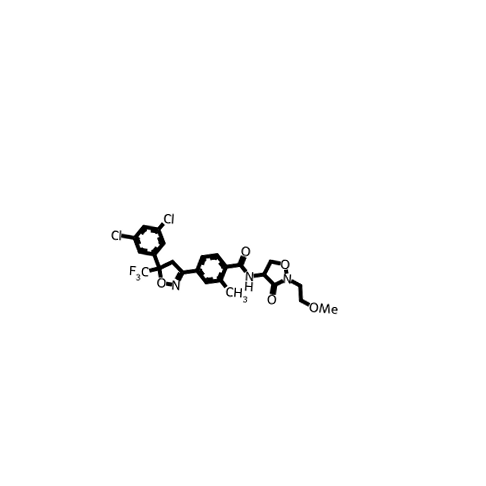 COCCN1OCC(NC(=O)c2ccc(C3=NOC(c4cc(Cl)cc(Cl)c4)(C(F)(F)F)C3)cc2C)C1=O